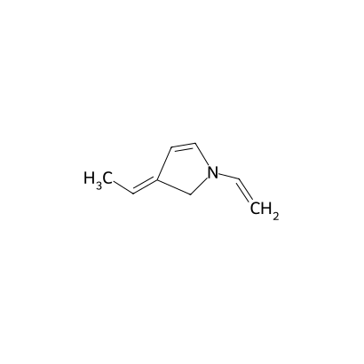 C=CN1C=CC(=CC)C1